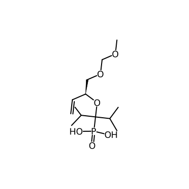 C=C[C@@H](COCOC)OC(C(C)C)(C(C)C)P(=O)(O)O